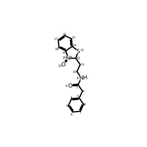 O=C(Cc1ccccc1)NCCC1Sc2ccccc2[N+]1=O